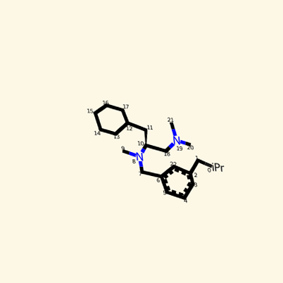 CC(C)Cc1cccc(CN(C)[C@@H](CC2CCCCC2)CN(C)C)c1